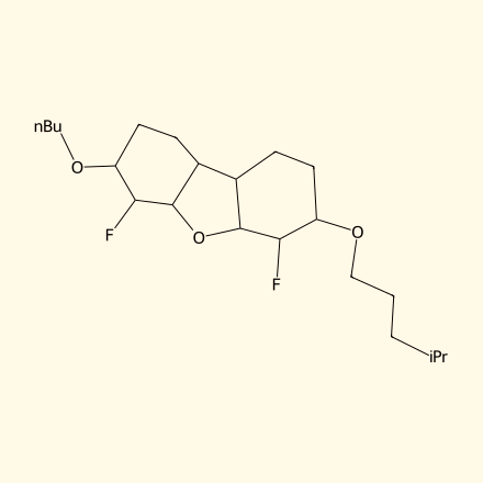 CCCCOC1CCC2C3CCC(OCCCC(C)C)C(F)C3OC2C1F